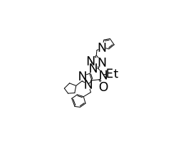 CCn1c(=O)c2c(nc(C3CCCC3)n2Cc2ccccc2)n2nc(Cn3cccc3)nc12